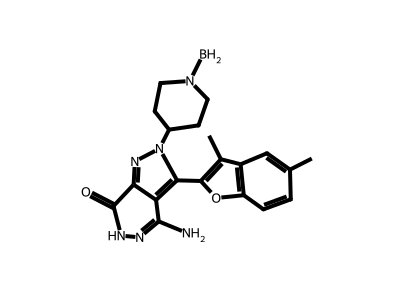 BN1CCC(n2nc3c(=O)[nH]nc(N)c3c2-c2oc3ccc(C)cc3c2C)CC1